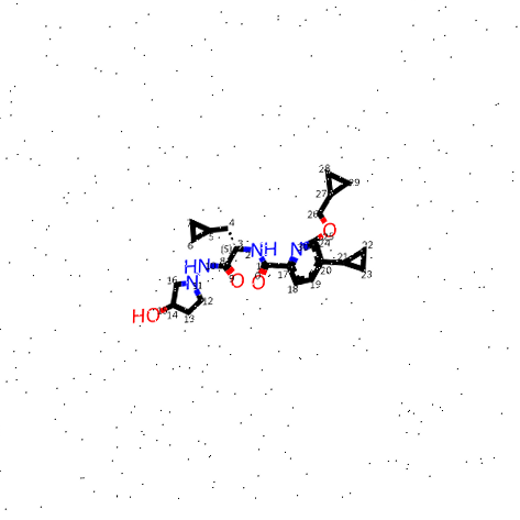 O=C(N[C@@H](CC1CC1)C(=O)NN1CCC(O)C1)c1ccc(C2CC2)c(OCC2CC2)n1